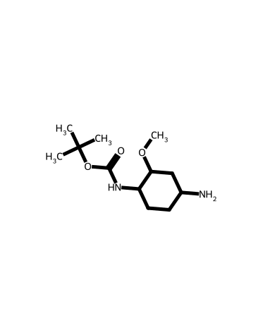 COC1CC(N)CCC1NC(=O)OC(C)(C)C